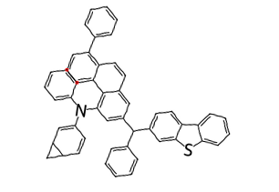 C1=CC2CC2C=C1N(c1ccccc1)c1cc(C(c2ccccc2)c2ccc3c(c2)sc2ccccc23)cc2ccc3c(-c4ccccc4)cccc3c12